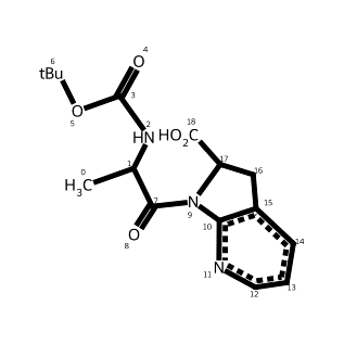 CC(NC(=O)OC(C)(C)C)C(=O)N1c2ncccc2CC1C(=O)O